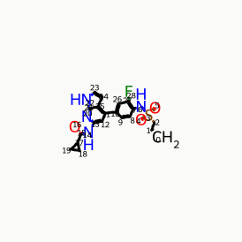 C=CCS(=O)(=O)Nc1ccc(-c2cc(NC(=O)C3CC3)nc3[nH]ccc23)cc1F